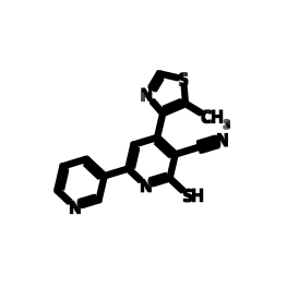 Cc1scnc1-c1cc(-c2cccnc2)nc(S)c1C#N